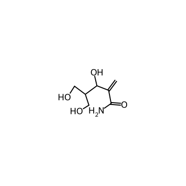 C=C(C(N)=O)C(O)C(CO)CO